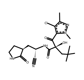 Cc1nn(C)c(C(=O)[C@](O)(CC(C)(C)C)C(=O)N[C@H](C#N)C[C@@H]2CCNC2=O)c1Cl